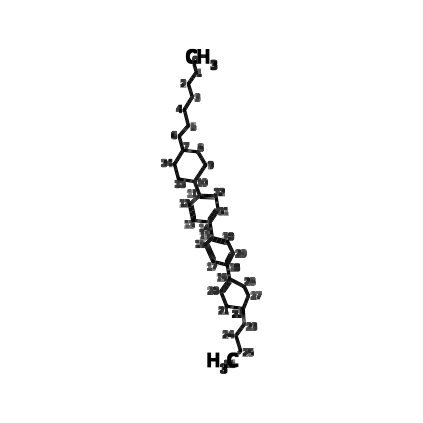 CCCCCCCC1CCC(c2ccc(-c3ccc(C4=CCC(CCCC)CC4)cc3)cc2)CC1